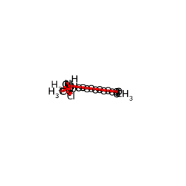 COc1ccc2c(c1)C(c1ccc(Cl)cc1)=N[C@@H](CC(=O)NCCOCCOCCOCCOCCOCCOCCOCCOCCOCCOS(C)(=O)=O)c1nnc(C)n1-2